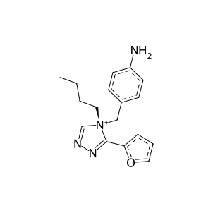 CCCC[N@+]1(Cc2ccc(N)cc2)C=NN=C1c1ccco1